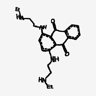 CCNCCNc1ccc(NCCNCC)c2c1C(=O)c1ccccc1C2=O